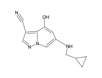 N#Cc1cnn2cc(NCC3CC3)cc(O)c12